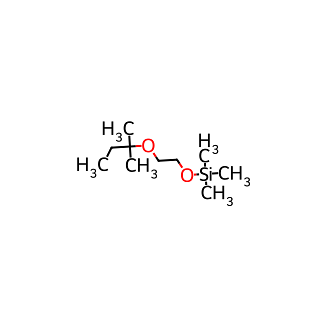 CCC(C)(C)OCCO[Si](C)(C)C